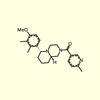 COc1ccc([C@H]2CCC[C@H]3CN(C(=O)c4ccc(C)nc4)CCN32)c(C)c1C